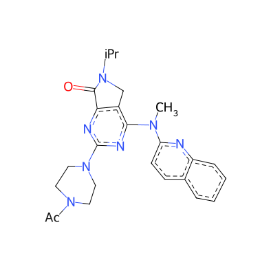 CC(=O)N1CCN(c2nc3c(c(N(C)c4ccc5ccccc5n4)n2)CN(C(C)C)C3=O)CC1